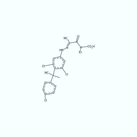 CCN(C(=O)O)C(=O)/C(C#N)=N/Nc1cc(Cl)c(C(C)(C#N)c2ccc(Cl)cc2)c(Cl)c1